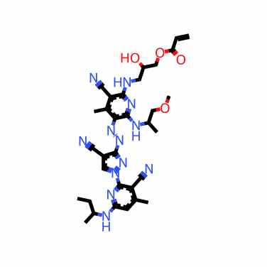 C=CC(=O)OCC(O)CNc1nc(NC(C)COC)c(N=Nc2nn(-c3nc(NC(C)CC)cc(C)c3C#N)cc2C#N)c(C)c1C#N